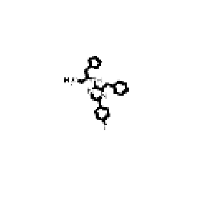 C=C/C(=C/C1=CC=CC1)Nc1ncc(-c2ccc(F)cc2)nc1Cc1ccccc1